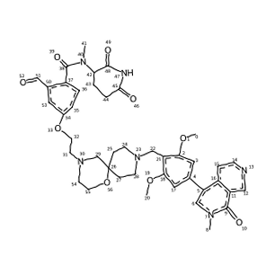 COc1cc(-c2cn(C)c(=O)c3cnccc23)cc(OC)c1CN1CCC2(CC1)CN(CCOc1ccc(C(=O)N(C)C3CCC(=O)NC3=O)c(C=O)c1)CCO2